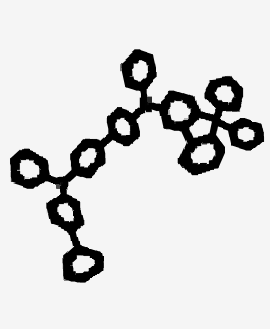 c1ccc(-c2ccc(N(c3ccccc3)c3ccc(-c4ccc(N(c5ccccc5)c5ccc6c(c5)-c5ccccc5C6(c5ccccc5)c5ccccc5)cc4)cc3)cc2)cc1